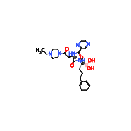 CCN1CCN(C(=O)C[C@@H](NC(=O)c2cnccn2)C(=O)N[C@@H](CCCc2ccccc2)B(O)O)CC1